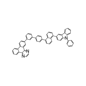 c1ccc(-n2c3ccccc3c3cc(-c4cccc5c(-c6ccc(-c7cccc(-c8ccc9c%10ccccc%10c%10nccnc%10c9c8)c7)cc6)cccc45)ccc32)cc1